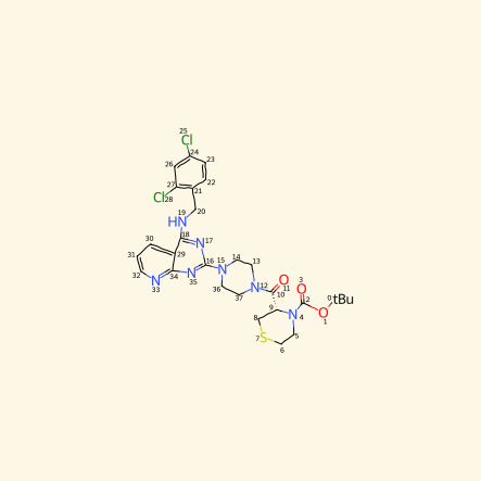 CC(C)(C)OC(=O)N1CCSC[C@@H]1C(=O)N1CCN(c2nc(NCc3ccc(Cl)cc3Cl)c3cccnc3n2)CC1